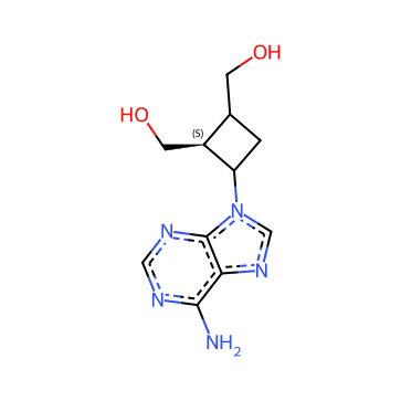 Nc1ncnc2c1ncn2C1CC(CO)[C@@H]1CO